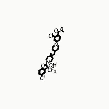 CN(C)C(=O)c1ccc(N2CCC(CC3(C)CCN(C(=O)C(O)(c4cccc(Cl)c4)C(F)(F)F)CC3)CC2)cc1Cl